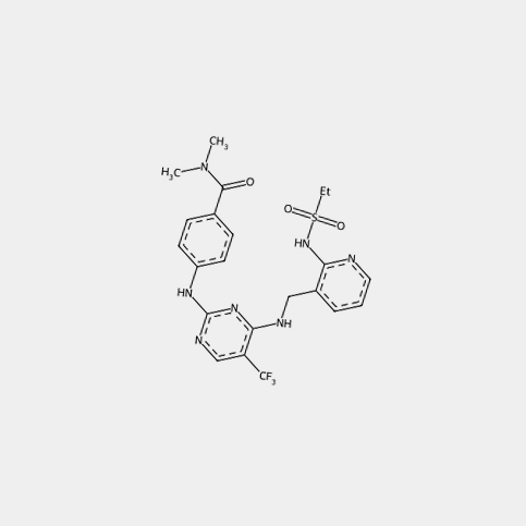 CCS(=O)(=O)Nc1ncccc1CNc1nc(Nc2ccc(C(=O)N(C)C)cc2)ncc1C(F)(F)F